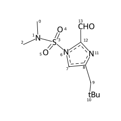 CN(C)S(=O)(=O)n1cc(CC(C)(C)C)nc1C=O